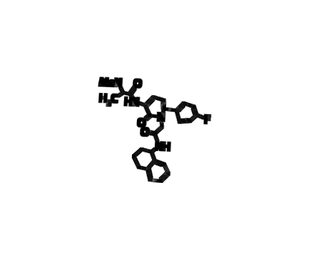 CNC(C)C(=O)Nc1ccc(-c2ccc(F)cc2)n(CC(=O)NC2CCCc3ccccc32)c1=O